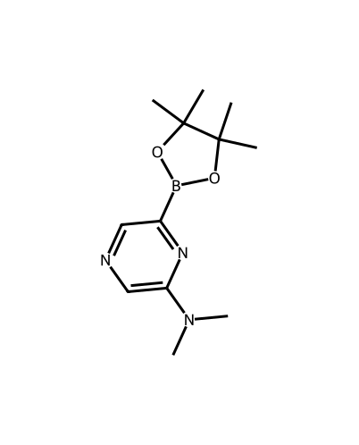 CN(C)c1cncc(B2OC(C)(C)C(C)(C)O2)n1